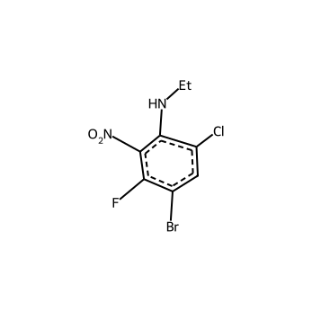 CCNc1c(Cl)cc(Br)c(F)c1[N+](=O)[O-]